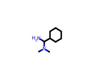 CN(C)C(N)C1CCCCC1